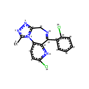 CCc1nnc2n1-c1ccc(Cl)nc1C(c1ccccc1Cl)=NC2